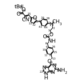 CN(CCOC(=O)NCc1ccc(COc2nc(N)nc3[nH]cnc23)cc1)c1ccc(-c2ccc(/C=C(\C#N)C(=O)OC(C)(C)C)o2)cc1